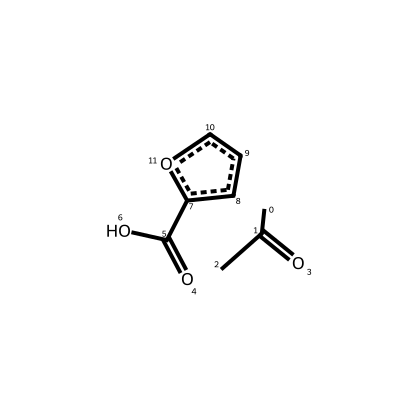 CC(C)=O.O=C(O)c1ccco1